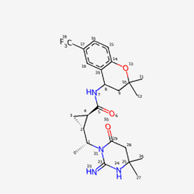 C[C@H]([C@@H]1C[C@H]1C(=O)NC1CC(C)(C)Oc2ccc(C(F)(F)F)cc21)N1C(=N)NC(C)(C)CC1=O